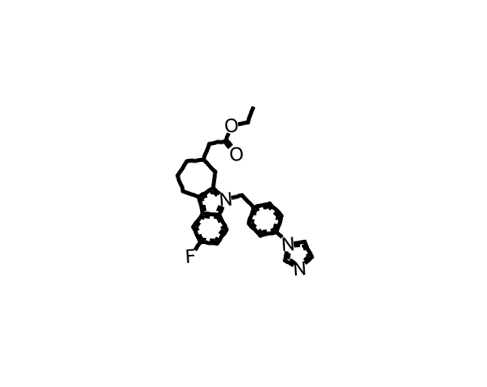 CCOC(=O)CC1CCCc2c(n(Cc3ccc(-n4ccnc4)cc3)c3ccc(F)cc23)C1